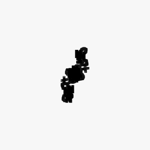 CC(C)(C)c1ccc2c(nc3sc4ncccc4n32)c1C1=CB2N(C=C1)B1C=CC=CN1B1C=C(c3c(C(C)(C)C)ccc4c3sc3nc5ccccc5n34)C=CN1B1C=CC=CN12